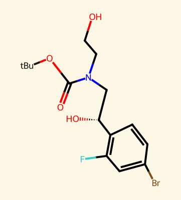 CC(C)(C)OC(=O)N(CCO)C[C@@H](O)c1ccc(Br)cc1F